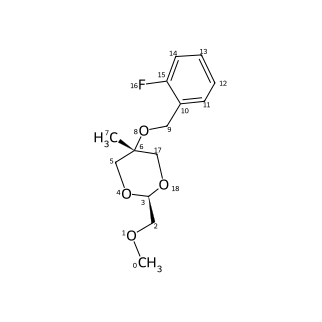 COC[C@H]1OC[C@](C)(OCc2ccccc2F)CO1